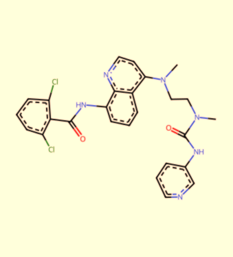 CN(CCN(C)c1ccnc2c(NC(=O)c3c(Cl)cccc3Cl)cccc12)C(=O)Nc1cccnc1